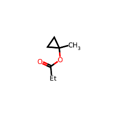 CCC(=O)OC1(C)CC1